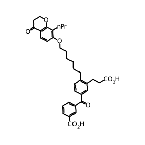 CCCc1c(OCCCCCCc2ccc(C(=O)c3cccc(C(=O)O)c3)cc2CCC(=O)O)ccc2c1OCCC2=O